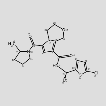 CC[C@@H](NC(=O)c1cc(C(=O)N2CCCC2C)n2c1COCC2)c1ccc(Cl)s1